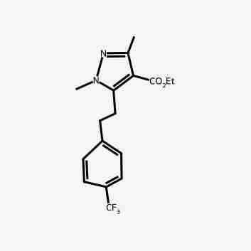 CCOC(=O)c1c(C)nn(C)c1CCc1ccc(C(F)(F)F)cc1